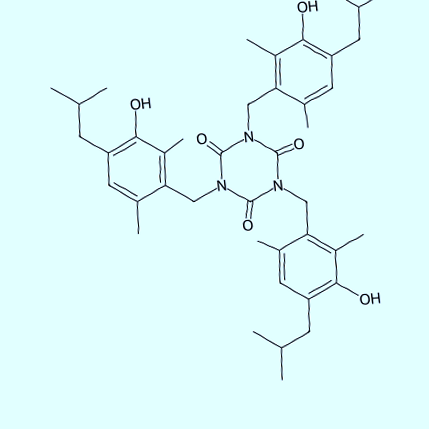 Cc1cc(CC(C)C)c(O)c(C)c1Cn1c(=O)n(Cc2c(C)cc(CC(C)C)c(O)c2C)c(=O)n(Cc2c(C)cc(CC(C)C)c(O)c2C)c1=O